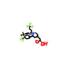 CC(C)(C)C#C[C@H](CCC(F)(F)F)N1CC[C@@H](CC(=O)O)C[C@H]1c1ccc(C(F)(F)F)cc1